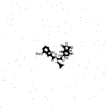 COc1cccc2[nH]c(C(=O)N[C@@H](CC3CC3)C(=O)N[C@@]3(C#N)C[C@@H]4CC[C@H]3C3C(=O)NC(=O)[C@H]34)cc12